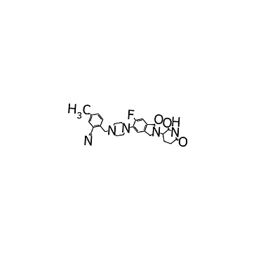 Cc1ccc(CN2CCN(c3cc4c(cc3F)C(=O)N(C3CCC(=O)NC3=O)C4)CC2)c(C#N)c1